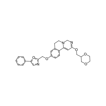 C1=C2c3ccc(OCc4ncc(-c5ccccc5)o4)cc3CCN2CN=C1OCC1COCCO1